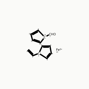 C=C[c-]1cccc1.O=C[c-]1cccc1.[Fe+2]